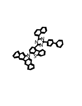 c1ccc(-c2ccc(-c3nc(-c4cccc5ccccc45)nc(-c4ccc(-n5c6cc7ccccc7cc6c6cc7ccccc7cc65)c5sc6ccccc6c45)n3)cc2)cc1